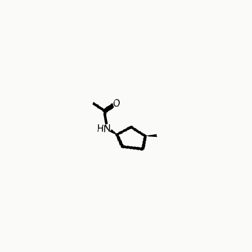 CC(=O)N[C@@H]1CC[C@H](C)C1